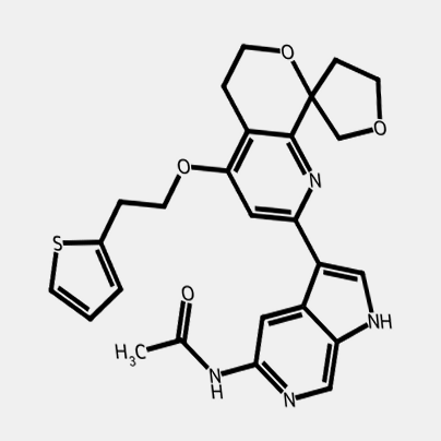 CC(=O)Nc1cc2c(-c3cc(OCCc4cccs4)c4c(n3)C3(CCOC3)OCC4)c[nH]c2cn1